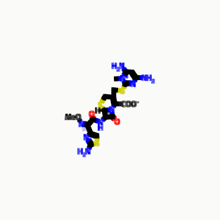 CO/N=C(\C(=O)NC1C(=O)N2C(C(=O)[O-])=C(CSc3nc(N)cc(N)[n+]3C)CS[C@H]12)c1csc(N)n1